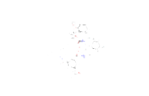 CCCN(CCC)C(=O)c1cc(C(=O)N[C@@H](Cc2cc(F)cc(F)c2)[C@H](O)CN(Cc2cccc(OC)c2)C(=O)OC(C)(C)C)cc(C(C)O)c1